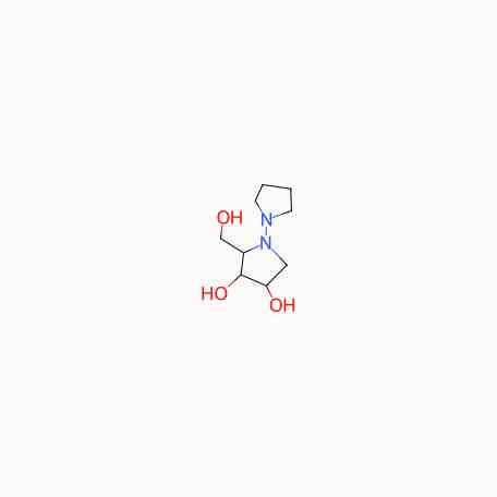 OCC1C(O)C(O)CN1N1CCCC1